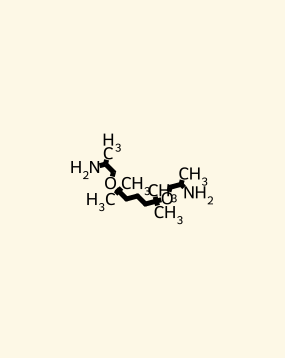 CC(N)COC(C)(C)CCCC(C)(C)OCC(C)N